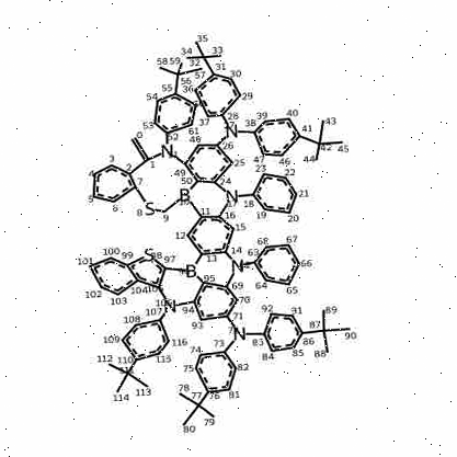 C=C1c2ccccc2SCB2c3cc4c(cc3N(c3ccccc3)c3cc(N(c5ccc(C(C)(C)C)cc5)c5ccc(C(C)(C)C)cc5)cc(c32)N1c1ccc(C(C)(C)C)cc1)N(c1ccccc1)c1cc(N(c2ccc(C(C)(C)C)cc2)c2ccc(C(C)(C)C)cc2)cc2c1B4c1sc3ccccc3c1N2c1ccc(C(C)(C)C)cc1